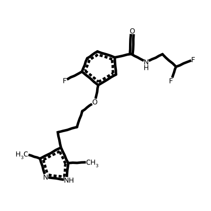 Cc1n[nH]c(C)c1CCCOc1cc(C(=O)NCC(F)F)ccc1F